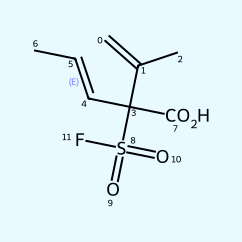 C=C(C)C(/C=C/C)(C(=O)O)S(=O)(=O)F